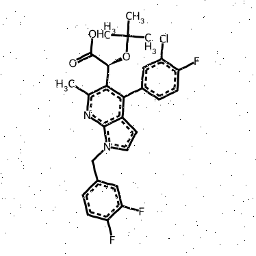 Cc1nc2c(ccn2Cc2ccc(F)c(F)c2)c(-c2ccc(F)c(Cl)c2)c1[C@H](OC(C)(C)C)C(=O)O